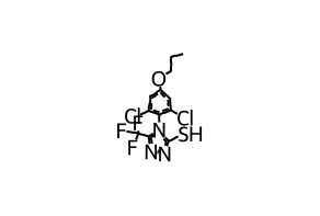 CCCOc1cc(Cl)c(-n2c(S)nnc2C(F)(F)F)c(Cl)c1